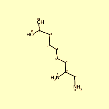 NCC(N)CCCCCC(O)O